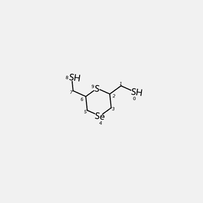 SCC1C[Se]CC(CS)S1